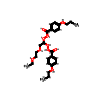 [CH2]COCCOC[C](OOC(=O)c1ccc(OCCC)cc1)OOC(=O)c1ccc(OCCC)cc1